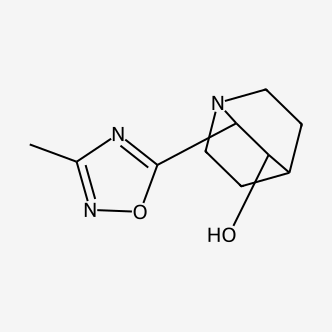 Cc1noc(C2C(O)C3CCN2CC3)n1